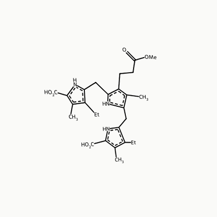 CCc1c(Cc2[nH]c(Cc3[nH]c(C(=O)O)c(C)c3CC)c(CCC(=O)OC)c2C)[nH]c(C(=O)O)c1C